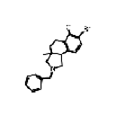 CC12CCc3c(ccc(Br)c3Cl)C1CN(Cc1ccccc1)C2